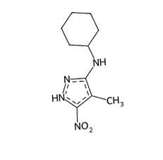 Cc1c(NC2CCCCC2)n[nH]c1[N+](=O)[O-]